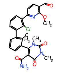 COc1nc(-c2cccc(-c3cccc(-c4c(C(N)=O)c(=O)n(C)c(=O)n4C)c3C)c2Cl)ccc1C=O